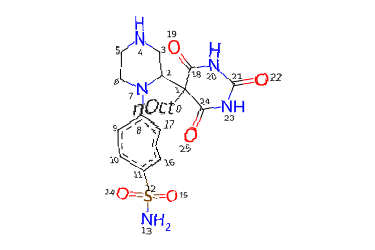 CCCCCCCCC1(C2CNCCN2c2ccc(S(N)(=O)=O)cc2)C(=O)NC(=O)NC1=O